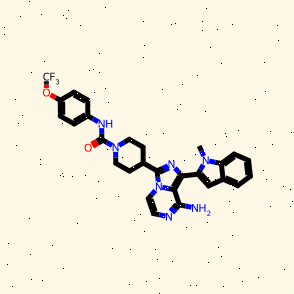 Cn1c(-c2nc(C3CCN(C(=O)Nc4ccc(OC(F)(F)F)cc4)CC3)n3ccnc(N)c23)cc2ccccc21